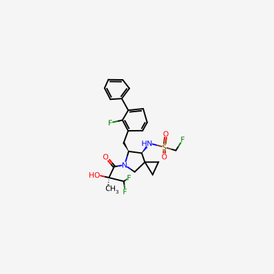 C[C@](O)(C(=O)N1CC2(CC2)[C@H](NS(=O)(=O)CF)[C@@H]1Cc1cccc(-c2ccccc2)c1F)C(F)F